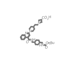 CC(C)(C)OC(=O)NCC1CCC(CNC(=O)c2cc(N3CCC(CCN4CC(C(=O)O)C4)CC3)nc3ccccc23)CC1